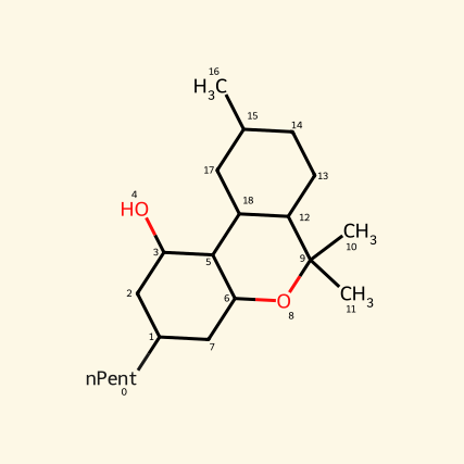 CCCCCC1CC(O)C2C(C1)OC(C)(C)C1CCC(C)CC21